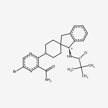 CC(C)(C)[S+]([O-])N[C@@H]1c2ccccc2CC12CCN(c1ncc(Br)nc1C(N)=O)CC2